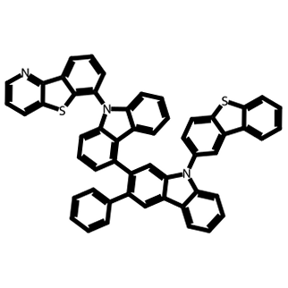 c1ccc(-c2cc3c4ccccc4n(-c4ccc5sc6ccccc6c5c4)c3cc2-c2cccc3c2c2ccccc2n3-c2cccc3c2sc2cccnc23)cc1